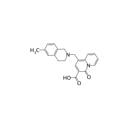 Cc1ccc2c(c1)CCN(Cc1cc(C(=O)O)c(=O)n3ccccc13)C2